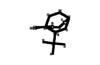 CC(C)(C)N1CC2CCC[C@H]1CC2